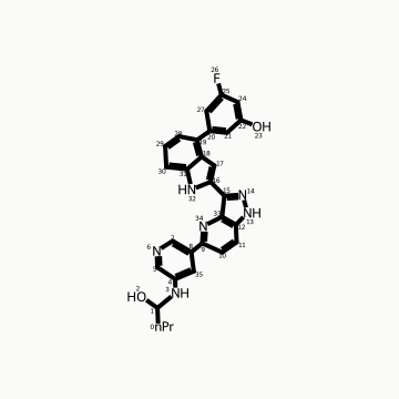 CCCC(O)Nc1cncc(-c2ccc3[nH]nc(-c4cc5c(-c6cc(O)cc(F)c6)cccc5[nH]4)c3n2)c1